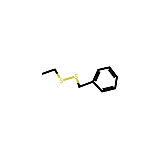 CCSSCc1ccccc1